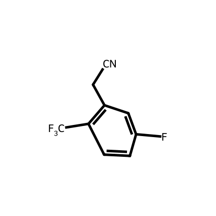 N#CCc1cc(F)ccc1C(F)(F)F